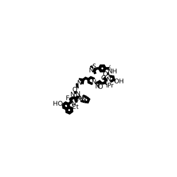 CCc1cccc2cc(O)cc(-c3ncc4c(N5CC6CCC(C5)N6)nc(OCCN5CC(CC6CCN(c7cc([C@@H](C(=O)N8C[C@H](O)C[C@H]8C(=O)N[C@@H](C)c8ccc(-c9scnc9C)cc8)C(C)C)on7)CC6)C5)nc4c3F)c12